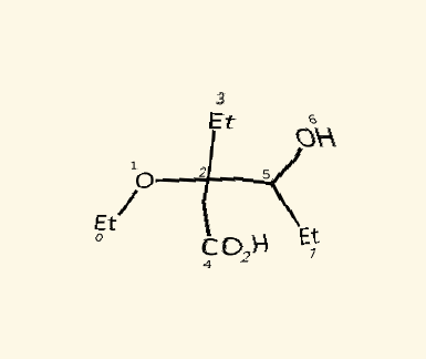 CCOC(CC)(C(=O)O)C(O)CC